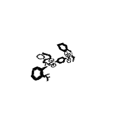 CCN(Cc1ccccc1)S(=O)(=O)c1ccc(S(=O)(=O)N(Cc2ccccc2F)CC2CCCO2)cc1